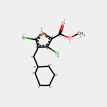 COC(=O)c1sc(Br)c(CC2CCCCC2)c1Cl